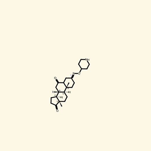 C[C@]12CC/C(=N\OC3CCNCC3)CC1C(=O)C[C@@H]1[C@@H]2CC[C@]2(C)C(=O)CC[C@@H]12